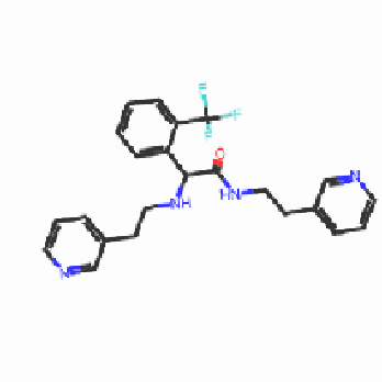 O=C(NCCc1cccnc1)C(NCCc1cccnc1)c1ccccc1C(F)(F)F